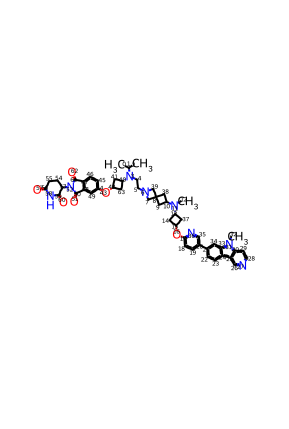 CC(C)N(CCN1CC2(CC(N(C)[C@H]3C[C@H](Oc4ccc(-c5ccc6c7cnccc7n(C)c6c5)cn4)C3)C2)C1)[C@H]1C[C@H](Oc2ccc3c(c2)C(=O)N(C2CCC(=O)NC2=O)C3=O)C1